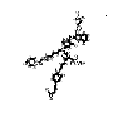 COC(=O)c1nc(N(CCCCCNCCN2CCN(C)CC2)c2cc(C)c(/N=c3\sc4ccccc4n3COCC[Si](C)(C)C)nn2)sc1CCCOc1ccc(C#CCN(C)C)cc1F